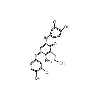 CCCC1=C(N)/C(=N\c2ccc(O)c(Cl)c2)C=C(Nc2ccc(O)c(Cl)c2)C1=O